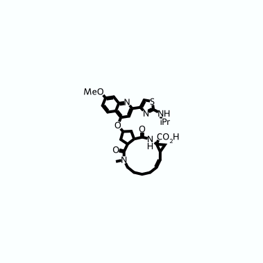 COc1ccc2c(OC3CC4C(=O)NC5(C(=O)O)CC5C=CCCCCN(C)C(=O)C4C3)cc(-c3csc(NC(C)C)n3)nc2c1